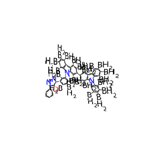 Bc1cc(-n2c3c(B)c(B)c(B)c(B)c3c3c(B)c(-c4c(B)c(B)c5c6c(B)c(B)c(B)c(B)c6n(-c6c(B)c(B)c(B)c(-c7ncnc8c7oc7ccccc78)c6B)c5c4B)c(B)c(B)c32)c(B)c(B)c1B